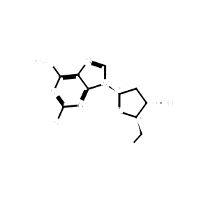 CSc1nc(N)nc2c1ncn2[C@H]1C[C@H](O)[C@@H](CO)S1